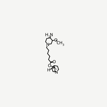 COC1CN(CCCCCC(=O)O[C@H]2CN3CCC2CC3)CCC1N